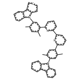 Cc1cc(-n2c3ccccc3c3ccccc32)c(C)cc1-c1cccc(-c2cccc(-c3cc(-n4c5ccccc5c5ccccc54)c(C)cc3C)n2)n1